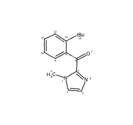 Cn1ccnc1C(=O)c1ccccc1C(C)(C)C